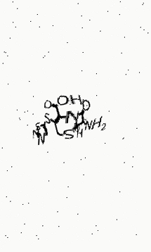 N[C@@H]1C(=O)N2C(C(=O)O)=C(Sc3cnns3)CS[C@H]12